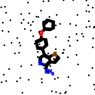 Nc1ncc(-c2ccc(Oc3ccccc3)cc2)c2sccc12